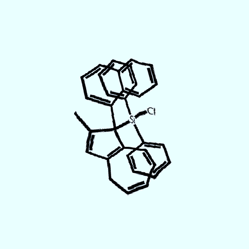 CC1=CC2=C(C=CC=CC2)C1(c1cccc2ccccc12)[Si](Cl)(c1ccccc1)c1ccccc1